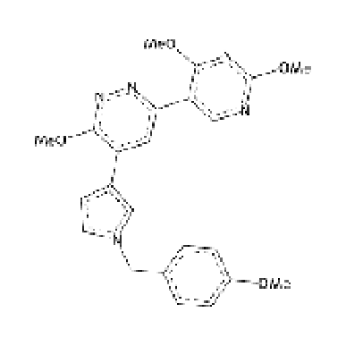 COc1ccc(Cn2ccc(-c3cc(-c4cnc(OC)nc4OC)nnc3OC)c2)cc1